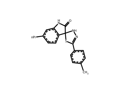 CCCc1ccc2c(c1)NC(=O)C21NN=C(c2ccc(C)cc2)S1